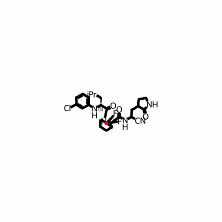 CC(C)C[C@H](Nc1cccc(Cl)c1)C(=O)N1C2CCC(C1C(=O)NC(C#N)CC1CCNC1=O)C(F)(F)C2